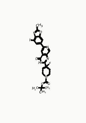 Cc1nc2c(F)cc(-c3cc4c(=O)[nH]c(C5(F)CCN(C(=O)OC(C)(C)C)CC5)nc4cn3)cc2o1